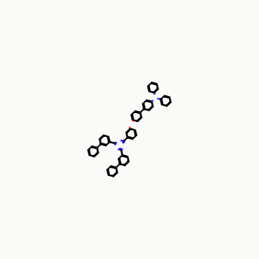 c1ccc(-c2cccc(-c3nc(-c4cccc(Oc5ccc(-c6ccc(N(c7ccccc7)c7ccccc7)cc6)cc5)c4)nc(-c4cccc(-c5ccccc5)c4)n3)c2)cc1